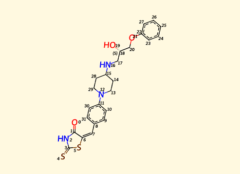 O=C1NC(=S)SC1=Cc1ccc(N2CCC(NC[C@H](O)COc3ccccc3)CC2)cc1